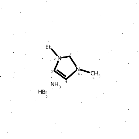 Br.CCN1C=CN(C)C1.N